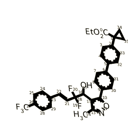 CCOC(=O)C1(c2ccc(-c3ccc(-c4onc(C)c4C(O)C(F)(F)C=Cc4ccc(C(F)(F)F)cc4)cc3)cc2)CC1